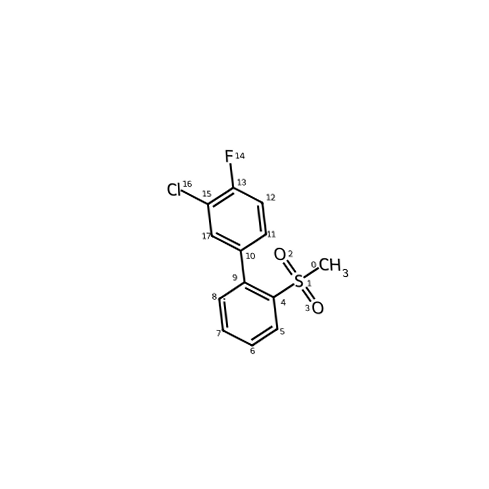 CS(=O)(=O)c1ccc[c]c1-c1ccc(F)c(Cl)c1